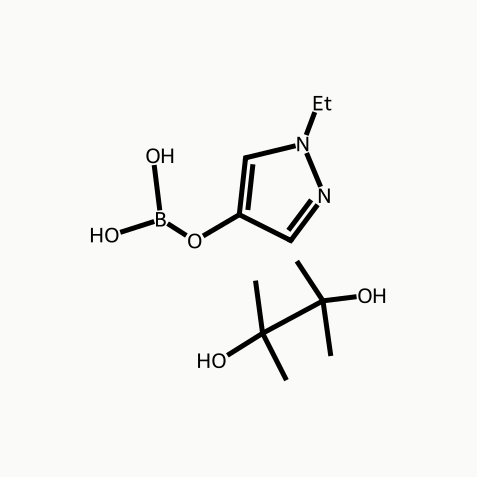 CC(C)(O)C(C)(C)O.CCn1cc(OB(O)O)cn1